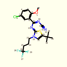 COc1ccc(Cl)cc1C(=NC#N)N=c1sc(C(C)(C)C)cn1CCCC(F)(F)F